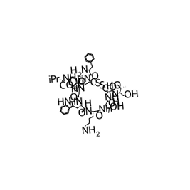 CC(C)[C@H](N)C(=O)O.CC(O)[C@@H]1NC(=O)[C@H](CCCCN)NC(=O)[C@@H](Cc2c[nH]c3ccccc23)NC(=O)[C@H](Cc2ccccc2)NC(=O)[C@@H](NC(=O)[C@H](N)Cc2ccccc2)CSSC[C@@H](C(=O)N[C@H](CO)[C@@H](C)O)NC1=O